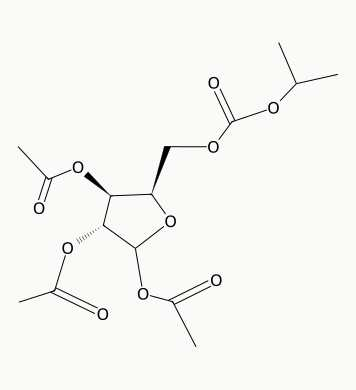 CC(=O)OC1O[C@H](COC(=O)OC(C)C)[C@H](OC(C)=O)[C@H]1OC(C)=O